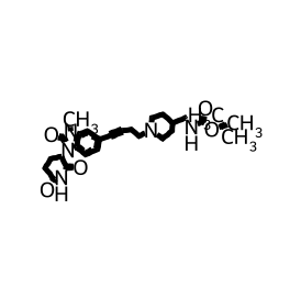 Cn1c(=O)n(C2CCC(=O)NC2=O)c2ccc(C#CCCN3CCC(CNC(=O)OC(C)(C)C)CC3)cc21